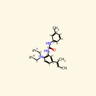 C/C(=C\C#N)c1ccc(N(CC(C)C)CC(C)C)c(NC(=O)Nc2cccc(C)c2)c1